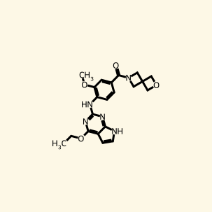 CCOc1nc(Nc2ccc(C(=O)N3CC4(COC4)C3)cc2OC)nc2[nH]ccc12